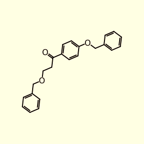 O=C(CCOCc1ccccc1)c1ccc(OCc2ccccc2)cc1